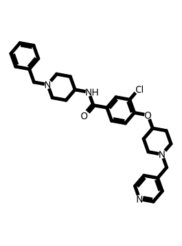 O=C(NC1CCN(Cc2ccccc2)CC1)c1ccc(OC2CCN(Cc3ccncc3)CC2)c(Cl)c1